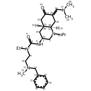 CCCN1C[C@@H](NC(=O)N(CC)CCN(C)Cc2ccccc2)C[C@@H]2CC(=O)C(=CN(C)C)C[C@H]21